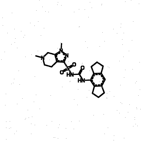 CN1CCc2c(S(=O)(=O)NC(=O)Nc3c4c(cc5c3CCC5)CCC4)nn(C)c2C1